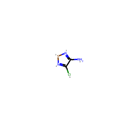 Nc1nsnc1Cl